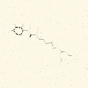 CCOC(OCC)O[SiH2]CCCCN(F)C(=O)N(F)c1ccc(F)c(F)c1F